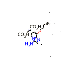 Cc1nc2c(OCCCC(C)C)cccn2c1N.O=C(O)/C=C/C(=O)O